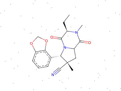 CC[C@@H]1C(=O)N2C(C[C@](C)(C#N)[C@@H]2c2cccc3c2OCO3)C(=O)N1C